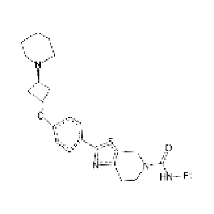 CCNC(=O)N1CCc2nc(-c3ccc(O[C@H]4C[C@H](N5CCCCC5)C4)cc3)sc2C1